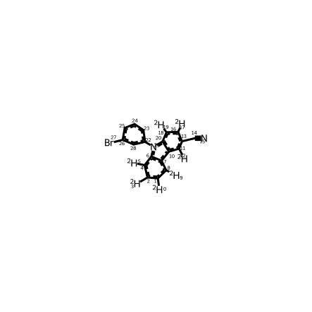 [2H]c1c([2H])c([2H])c2c(c1[2H])c1c([2H])c(C#N)c([2H])c([2H])c1n2-c1cccc(Br)c1